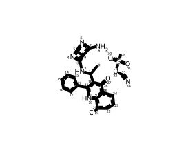 CC(Nc1nc2nc(N)c1-2)c1c(-c2ccccc2)[nH]c2c(Cl)cccc2c1=O.CS(=O)(=O)OC#N